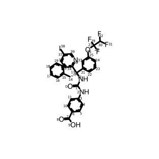 O=C(Nc1ccc(C(=O)O)cc1)N[C@](Cc1ccccc1)(c1cccc(OC(F)(F)C(F)F)c1)c1ccc(I)cn1